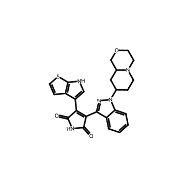 O=C1NC(=O)C(c2nn(C3CCN4CCOCC4C3)c3ccccc23)=C1c1c[nH]c2sccc12